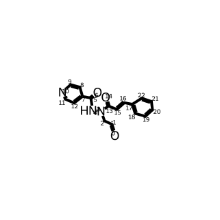 O=[C]CN(NC(=O)c1ccncc1)C(=O)C=Cc1ccccc1